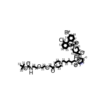 C[C@H](/C=C\S(=O)(=O)CCCCCN1CCN(C(=O)COCCOCCNC(=O)OC(C)(C)C)CC1)NC(=O)C1(F)CCN(S(=O)(=O)c2ccc(Br)cc2-c2ccccc2Cl)CC1